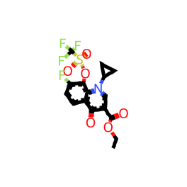 CCOC(=O)c1cn(C2CC2)c2c(OS(=O)(=O)C(F)(F)F)c(F)ccc2c1=O